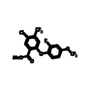 COC(=O)c1cc(Cl)c(C(F)(F)F)cc1Oc1ccc(OC(F)(F)F)cc1F